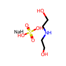 O=S(=O)(O)O.OCCNCCO.[NaH]